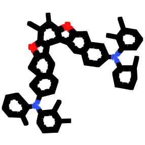 Cc1ccccc1N(c1ccc2cc3c(cc2c1)oc1c(C)c(C)c2oc4cc5cc(N(c6ccccc6C)c6cccc(C)c6C)ccc5cc4c2c13)c1cccc(C)c1C